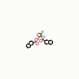 O=C(OC[C@H]1SC[C@H](F)[C@@H]1OC(=O)c1ccc2ccccc2c1)c1ccc2ccccc2c1